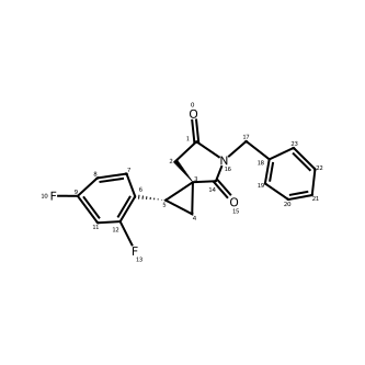 O=C1C[C@]2(C[C@@H]2c2ccc(F)cc2F)C(=O)N1Cc1ccccc1